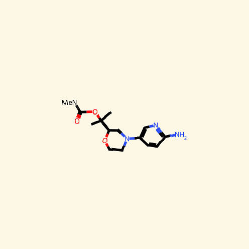 CNC(=O)OC(C)(C)C1CN(c2ccc(N)nc2)CCO1